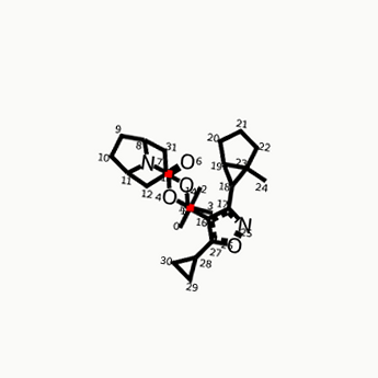 CC(C)(C)OC(=O)N1C2CCC1CC(OCc1c(C3C4CCCC43C)noc1C1CC1)C2